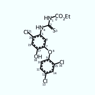 CCOC(=O)NC(=S)Nc1cc(Oc2ccc(Cl)cc2Cl)c(O)cc1Cl